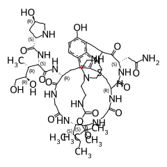 CC[C@H](C)[C@@H]1NC(=O)CNC(=O)[C@H](NC(=O)[C@@H](NC(=O)[C@@H]2C[C@@H](O)CN2)[C@@H](C)[C@@H](O)CO)Cc2c3[nH]c4c(c(O)ccc24)C(N2CCN(CCNC(=O)OC(C)(C)C)CC2)C(=O)[C@H](CC(N)=O)NC(=O)[C@H](CS3)NC(=O)CNC1=O